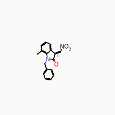 Cc1cccc2c1N(Cc1ccccc1)C(=O)/C2=C/[N+](=O)[O-]